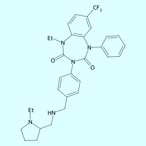 CCN1C(=O)N(c2ccc(CNCC3CCCN3CC)cc2)C(=O)N(c2ccccc2)c2cc(C(F)(F)F)ccc21